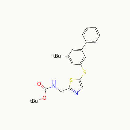 CC(C)(C)OC(=O)NCc1ncc(Sc2cc(-c3ccccc3)cc(C(C)(C)C)c2)s1